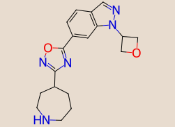 c1cc2cnn(C3COC3)c2cc1-c1nc(C2CCCNCC2)no1